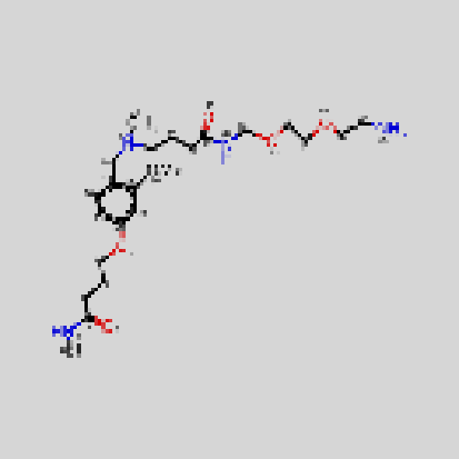 CCNC(=O)CCCOc1ccc(CN(C)CCCC(=O)NCOCCOCCN)c(OC)c1